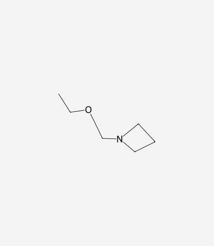 CCOCN1CCC1